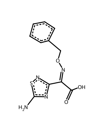 Nc1nc(/C(=N\OCc2ccccc2)C(=O)O)ns1